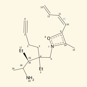 C#CCCC(CC)(Cn1oc(/C=C\C=C)c1C)[C@H](CC)C(C)N